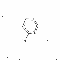 [C-]#[N+]c1ccncn1